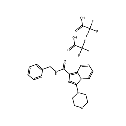 O=C(NCc1ccccn1)c1nc(N2CCOCC2)n2ccccc12.O=C(O)C(F)(F)F.O=C(O)C(F)(F)F